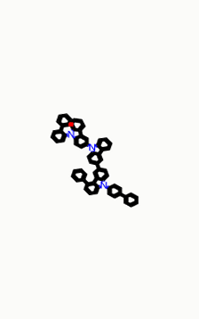 c1ccc(-c2ccc(-n3c4ccc(-c5ccc6c(c5)c5ccccc5n6-c5ccc6c(c5)c5ccccc5n6-c5ccccc5-c5ccccc5)cc4c4c(-c5ccccc5)cccc43)cc2)cc1